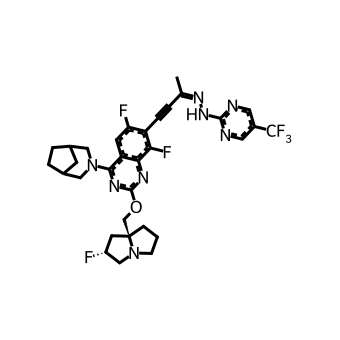 C/C(C#Cc1c(F)cc2c(N3CC4CCC(C4)C3)nc(OC[C@@]34CCCN3C[C@H](F)C4)nc2c1F)=N/Nc1ncc(C(F)(F)F)cn1